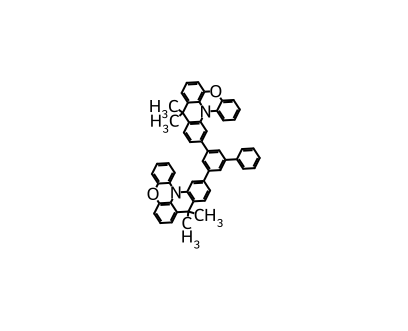 CC1(C)c2ccc(-c3cc(-c4ccccc4)cc(-c4ccc5c(c4)N4c6ccccc6Oc6cccc(c64)C5(C)C)c3)cc2N2c3ccccc3Oc3cccc1c32